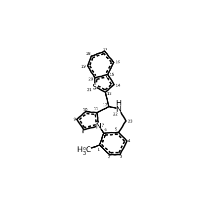 Cc1cccc2c1-n1cccc1C(c1cc3ccccc3s1)NC2